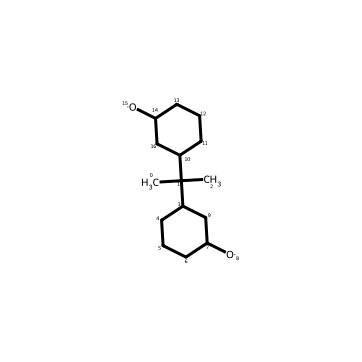 CC(C)(C1CCCC([O])C1)C1CCCC([O])C1